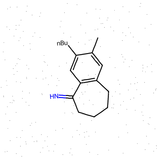 CCCCc1cc2c(cc1C)CCCCC2=N